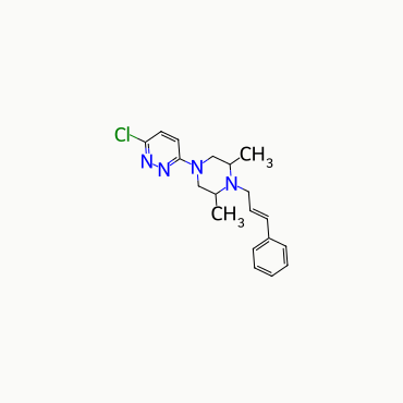 CC1CN(c2ccc(Cl)nn2)CC(C)N1C/C=C/c1ccccc1